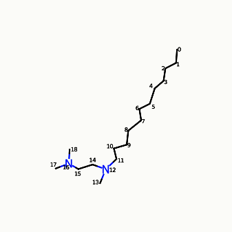 CCCCCCCCCCCCN(C)CCN(C)C